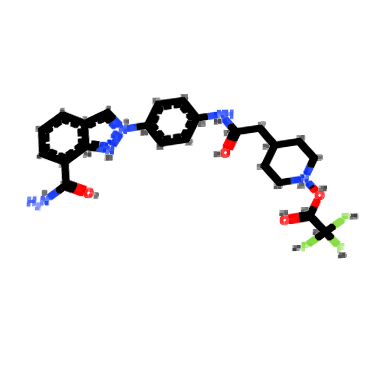 NC(=O)c1cccc2cn(-c3ccc(NC(=O)CC4CCN(OC(=O)C(F)(F)F)CC4)cc3)nc12